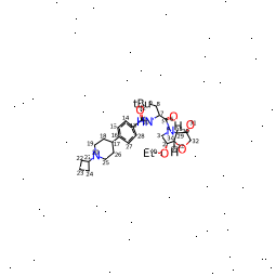 CCO[C@H]1CN(C(=O)C(CC(C)(C)C)NC(=O)c2ccc(C3CCN(C4CCC4)CC3)cc2)[C@@H]2C(=O)CO[C@H]12